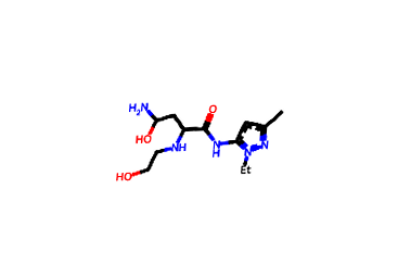 CCn1nc(C)cc1NC(=O)C(CC(N)O)NCCO